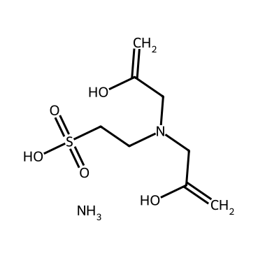 C=C(O)CN(CCS(=O)(=O)O)CC(=C)O.N